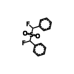 O=S(=O)(C(F)c1ccccc1)C(F)c1ccccc1